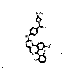 CNC1CN(C(=N)c2ccc(Nc3ncc4c(n3)-c3ccc(Cl)cc3C(c3c(F)cccc3F)=NC4)cc2)C1